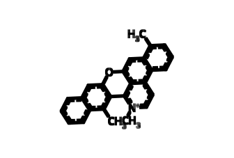 Cc1c2c(cc3ccccc13)Oc1cc3c(C)cccc3c3cc[n+](C)c-2c13